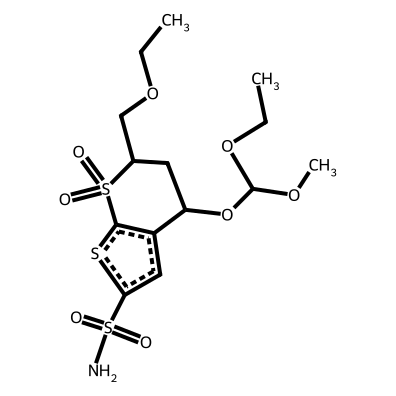 CCOCC1CC(OC(OC)OCC)c2cc(S(N)(=O)=O)sc2S1(=O)=O